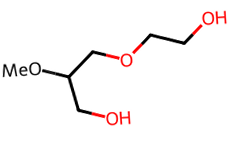 COC(CO)COCCO